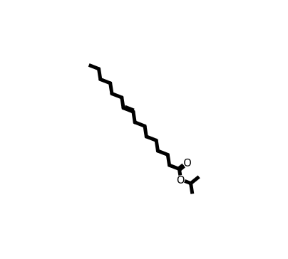 CCCCCCC=CCCCCCCCC(=O)OC(C)C